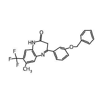 Cc1cc2c(cc1C(F)(F)F)NC(=O)CC(c1cccc(OCc3ccccc3)c1)=N2